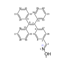 O/N=C/c1ccc(C(=C(c2ccccc2)c2ccccc2)c2ccccc2)cc1